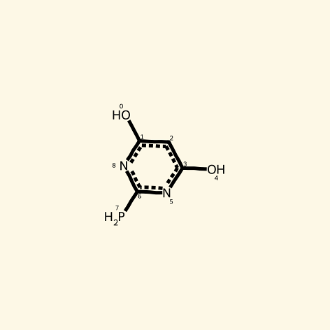 Oc1cc(O)nc(P)n1